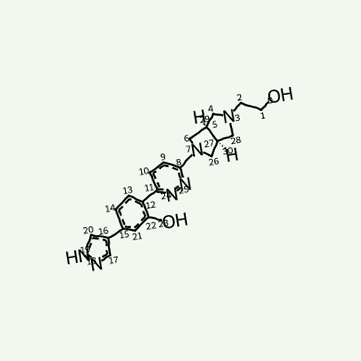 OCCN1C[C@@H]2CN(c3ccc(-c4ccc(-c5cn[nH]c5)cc4O)nn3)C[C@@H]2C1